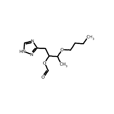 CCCCOC(C)C(Cc1nc[nH]n1)OC=O